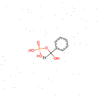 CCC(O)(OP(=O)(O)O)c1ccccc1